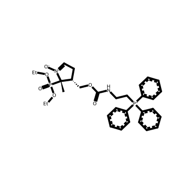 CCOP(=O)(OCC)[C@@]1(C)[C@@H](COC(=O)NCC[P+](c2ccccc2)(c2ccccc2)c2ccccc2)CC=[N+]1[O-]